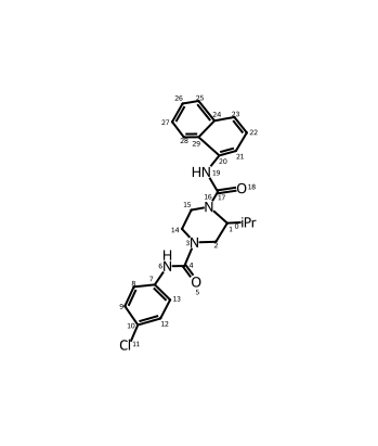 CC(C)C1CN(C(=O)Nc2ccc(Cl)cc2)CCN1C(=O)Nc1cccc2ccccc12